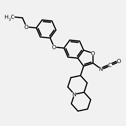 CCOc1cccc(Oc2ccc3oc(N=C=O)c(C4CCN5CCCCC5C4)c3c2)c1